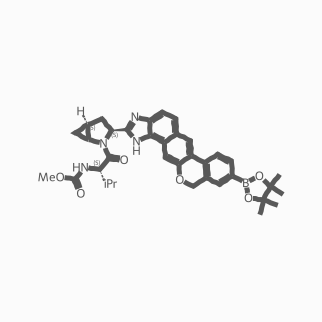 COC(=O)N[C@H](C(=O)N1C2C[C@H]2C[C@H]1c1nc2ccc3cc4c(cc3c2[nH]1)OCc1cc(B2OC(C)(C)C(C)(C)O2)ccc1-4)C(C)C